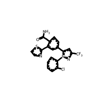 NC(=O)c1ccc(-c2cc(C(F)(F)F)nn2-c2ccccc2Cl)cc1-c1nccs1